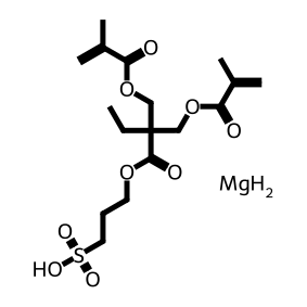 C=C(C)C(=O)OCC(CC)(COC(=O)C(=C)C)C(=O)OCCCS(=O)(=O)O.[MgH2]